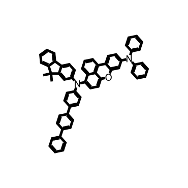 CC1(C)c2ccccc2-c2ccc(N(c3ccc(-c4ccc(-c5ccccc5)cc4)cc3)c3ccc4c5c(cccc35)-c3ccc(N(c5ccccc5)c5ccccc5)cc3O4)cc21